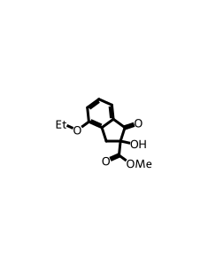 CCOc1cccc2c1CC(O)(C(=O)OC)C2=O